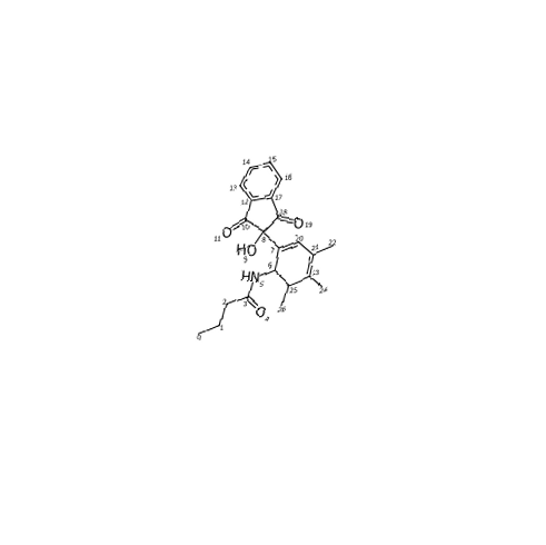 CCCC(=O)NC1C(C2(O)C(=O)c3ccccc3C2=O)=CC(C)=C(C)C1C